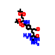 CC(C)(C)OC(=O)CC[C@H](NC(=O)c1ccc(C(CC=O)CCc2c(N)nc(N)[nH]c2=O)cc1)C(=O)OC(C)(C)C